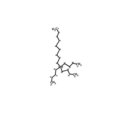 CCCCCCCC[CH2][Re]([CH2]CCC)([CH2]CCC)[CH2]CCC